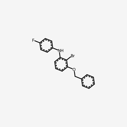 Fc1ccc(Nc2cccc(OCc3ccccc3)c2Br)cc1